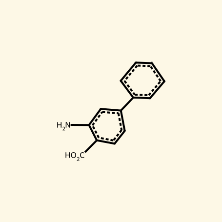 Nc1cc(-c2cc[c]cc2)ccc1C(=O)O